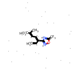 C=C/C(=C\C=C(/C)C(=O)O)c1noc(C(F)(F)F)n1